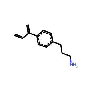 C=CC(=C)c1ccc(CCCN)cc1